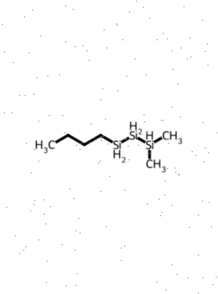 CCCC[SiH2][SiH2][SiH](C)C